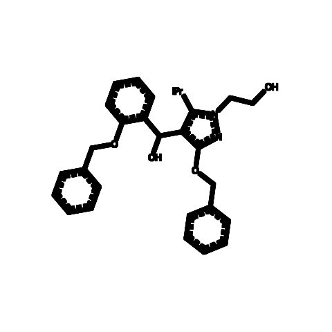 CC(C)c1c(C(O)c2ccccc2OCc2ccccc2)c(OCc2ccccc2)nn1CCO